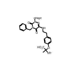 CCCCCCCn1nc(NCCc2ccc(OC(C)(CCC)C(=O)O)cc2)c(=O)n(Cc2ccccc2)c1=O